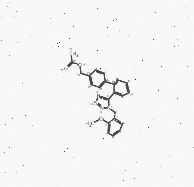 COc1ccccc1Cn1nnnc1-c1ccccc1-c1ccc(COC(C)=O)cc1